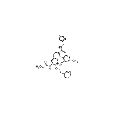 C=CC(=O)Nc1cc2c(cc1OCCc1cccnc1)C(c1ccc(C)cc1C)N(C(=O)NCc1cocn1)CC2